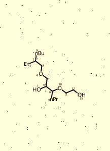 CCCCC(CC)COCC(O)C(CCC)OCCO